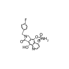 NS(=O)(=O)Oc1c2c(c(O)c3ncccc13)C(=O)N(Cc1ccc(F)cc1)C2